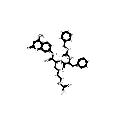 Cc1cc(=O)oc2cc(NC(=O)[C@H](CCCCNC(=O)C(F)(F)F)NC(=O)C(Cc3ccccc3)NC(=O)OCc3ccccc3)ccc12